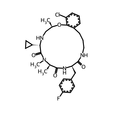 C[C@@H]1CN[C@@H](C2CC2)C(=O)N(C)[C@H](C)C(=O)N[C@H](Cc2ccc(F)cc2)C(=O)NCCCc2cccc(Cl)c2O1